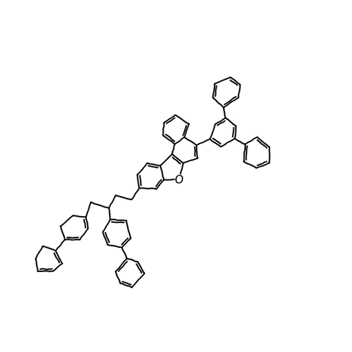 C1=CCCC(C2=CC=C(CC(CCc3ccc4c(c3)oc3cc(-c5cc(-c6ccccc6)cc(-c6ccccc6)c5)c5ccccc5c34)c3ccc(-c4ccccc4)cc3)CC2)=C1